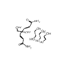 NC(=O)C=CC(O)(C=CC(N)=O)CO.OCCO.OCCO.OCCO